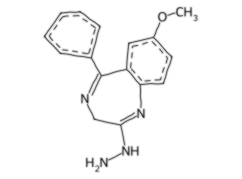 COc1ccc2c(c1)C(c1ccccc1)=NCC(NN)=N2